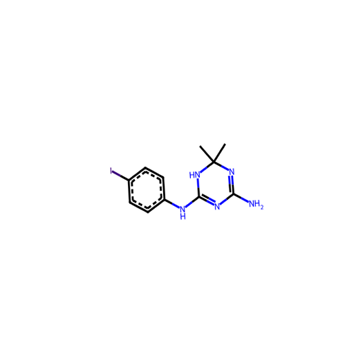 CC1(C)N=C(N)N=C(Nc2ccc(I)cc2)N1